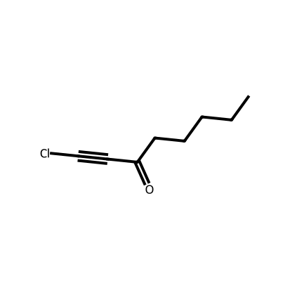 CCCCCC(=O)C#CCl